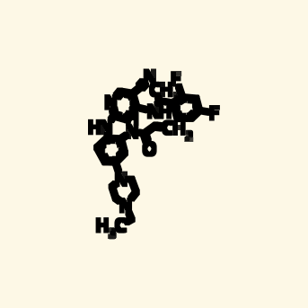 C=CC(=O)Nc1cc(N2CCN(CC)CC2)ccc1Nc1cc(NC(C)c2ccc(F)cc2F)c(C#N)cn1